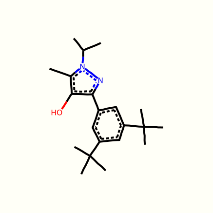 Cc1c(O)c(-c2cc(C(C)(C)C)cc(C(C)(C)C)c2)nn1C(C)C